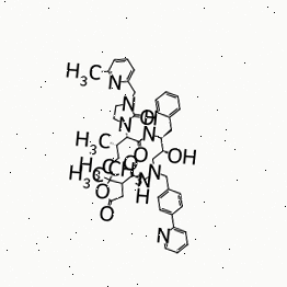 CC[C@H](C)[C@@H](C(=O)N[C@@H](Cc1ccccc1)[C@@H](O)CN(Cc1ccc(-c2ccccn2)cc1)NC(=O)C1CC(=O)OC1(C)C)N1CCN(Cc2cccc(C)n2)C1=O